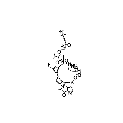 CCn1c(-c2cccnc2[C@H](C)OC)c2c3cc(ccc31)-c1cc(CF)cc(c1)CC(NC(=O)C(COC1CN(C(=O)C#CC(C)(C)N(C)C)C1)C(C)C)C(=O)N1CCC[C@@H](C(=O)OCC(C)(C)C2)C2(CC2)N1